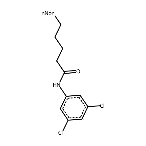 CCCCCCCCCCCCCC(=O)Nc1cc(Cl)[c]c(Cl)c1